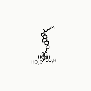 CC(C)CCCC(C)C1CCC2C3CCC4C[C@@H](OCCCOP(=O)(O)N[C@@H](CCC(=O)O)C(=O)O)CC[C@]4(C)C3CC[C@]12C